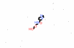 O=C(NCCOCCO)c1ccc2nccn2c1